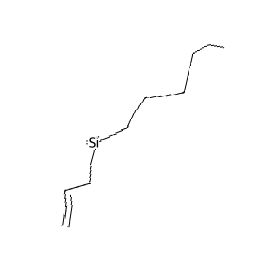 C=CC[Si]CCCCC